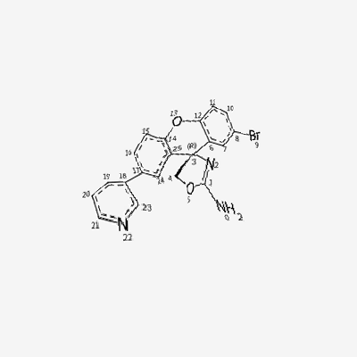 NC1=N[C@@]2(CO1)c1cc(Br)ccc1Oc1ccc(-c3cccnc3)cc12